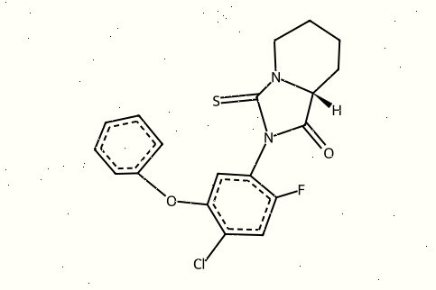 O=C1[C@H]2CCCCN2C(=S)N1c1cc(Oc2ccccc2)c(Cl)cc1F